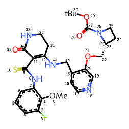 COc1c(F)cccc1NC(=S)C1=C(NCc2ccncc2OC[C@H]2CCN2C(=O)OC(C)(C)C)CCNC1=O